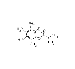 Cc1c(P)c(P)c(P)c(P)c1OC(=O)C(C)C